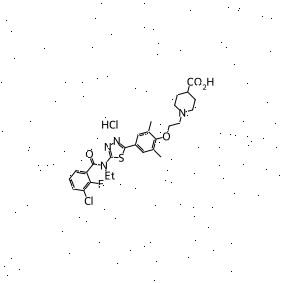 CCN(C(=O)c1cccc(Cl)c1F)c1nnc(-c2cc(C)c(OCCN3CCC(C(=O)O)CC3)c(C)c2)s1.Cl